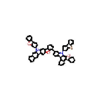 c1ccc2cc3c(cc2c1)c1cc2oc4c(-c5ccc6c7c8ccccc8c8c9ccccc9oc8c7n(-c7ccc8c(c7)sc7ccccc78)c6c5)cccc4c2cc1n3-c1ccc2c(c1)oc1ccccc12